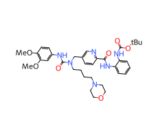 COc1ccc(NC(=O)N(CCCCN2CCOCC2)Cc2ccc(C(=O)Nc3ccccc3NC(=O)OC(C)(C)C)nc2)cc1OC